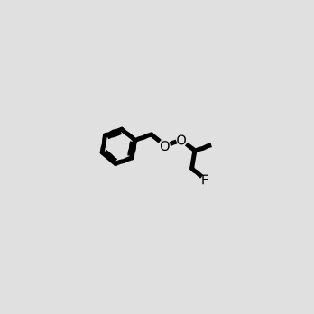 C[C](CF)OOCc1ccccc1